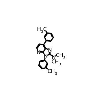 Cc1cccc(-c2ccnc3c2nc(N(C)C)n3-c2cccc(C)c2)c1